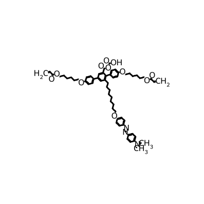 C=CC(=O)OCCCCCCOc1ccc(-c2cc(CCCCCCCCCOc3ccc(N=Nc4ccc(N(C)C)cc4)cc3)c(-c3ccc(OCCCCCCOC(=O)C=C)cc3)c(C(=O)OC(=O)O)c2)cc1